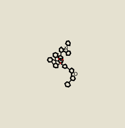 c1ccc(-c2ccc3oc4ccc(-c5ccc(N(c6ccc(-c7cccc8c7c7ccccc7n8-c7ccccc7)cc6)c6cccc7c6C6(c8ccccc8-c8ccccc86)c6ccccc6-7)cc5)cc4c3c2)cc1